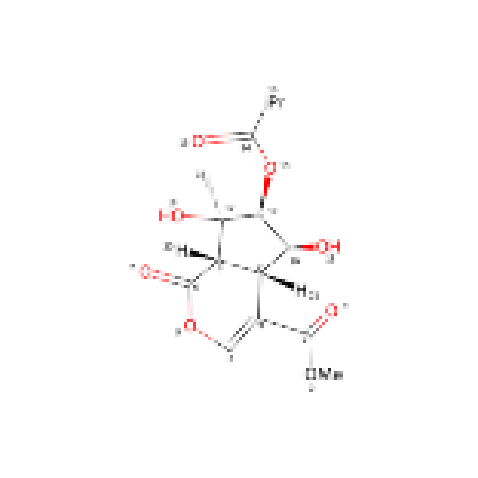 COC(=O)C1=COC(=O)[C@H]2[C@@H]1[C@H](O)[C@H](OC(=O)C(C)C)[C@]2(C)O